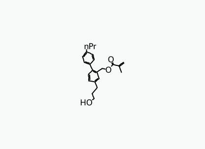 C=C(C)C(=O)OCc1cc(CCCO)ccc1-c1ccc(CCC)cc1